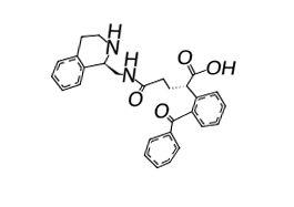 O=C(CC[C@H](C(=O)O)c1ccccc1C(=O)c1ccccc1)NC[C@@H]1NCCc2ccccc21